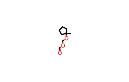 CC1(OCOC=O)CCCC1